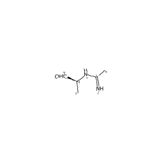 CC(=N)N[C@@H](C)C=O